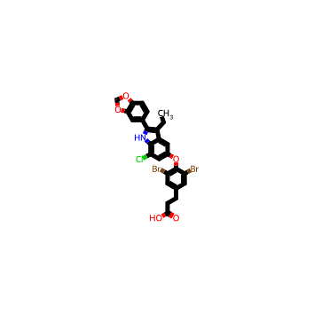 CCc1c(-c2ccc3c(c2)OCO3)[nH]c2c(Cl)cc(Oc3c(Br)cc(CCC(=O)O)cc3Br)cc12